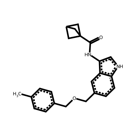 Cc1ccc(COCc2ccc3[nH]cc(NC(=O)C45CC(C4)C5)c3c2)cc1